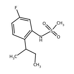 CCC(C)c1ccc(F)cc1NS(C)(=O)=O